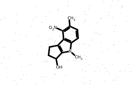 Cc1ccc2c(c3c(n2C)C(O)CC3)c1[N+](=O)[O-]